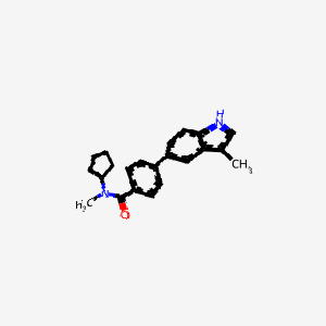 Cc1c[nH]c2ccc(-c3ccc(C(=O)N(C)C4CCCC4)cc3)cc12